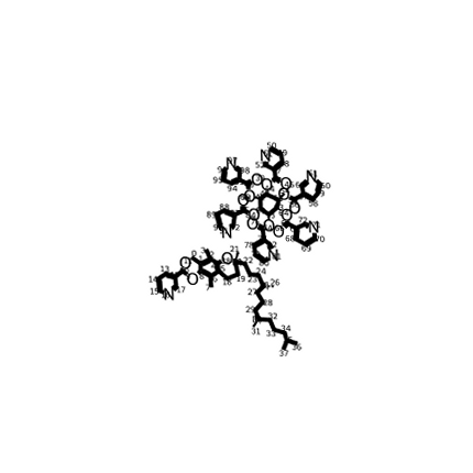 Cc1c(C)c2c(c(C)c1OC(=O)c1cccnc1)CC[C@@](C)(CCC[C@H](C)CCC[C@H](C)CCCC(C)C)O2.O=C(O[C@H]1[C@H](OC(=O)c2cccnc2)[C@@H](OC(=O)c2cccnc2)[C@H](OC(=O)c2cccnc2)[C@@H](OC(=O)c2cccnc2)[C@H]1OC(=O)c1cccnc1)c1cccnc1